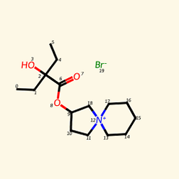 CCC(O)(CC)C(=O)OC1CC[N+]2(CCCCC2)C1.[Br-]